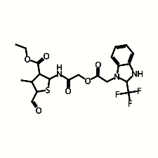 CCOC(=O)C1C(NC(=O)COC(=O)CN2c3ccccc3NC2C(F)(F)F)SC(C=O)C1C